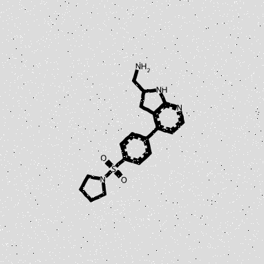 NCC1Cc2c(-c3ccc(S(=O)(=O)N4CCCC4)cc3)ccnc2N1